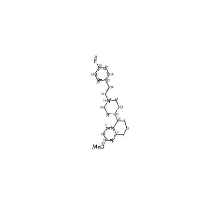 COc1ccc2c(c1)CCCC2C1CCN(CCc2ccc(F)cc2)CC1